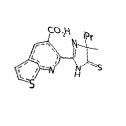 CC(C)C1(C)N=C(c2nc3sccc3cc2C(=O)O)NC1=S